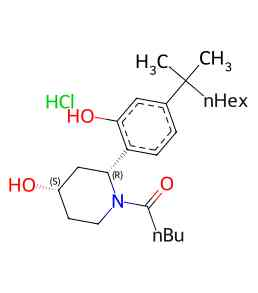 CCCCCCC(C)(C)c1ccc([C@H]2C[C@@H](O)CCN2C(=O)CCCC)c(O)c1.Cl